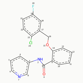 O=C(Nc1cccnc1)c1ccccc1OCc1cc(F)ccc1Cl